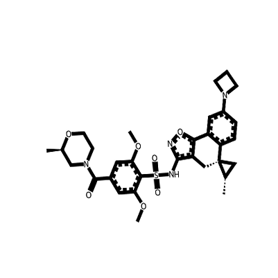 COc1cc(C(=O)N2CCO[C@H](C)C2)cc(OC)c1S(=O)(=O)Nc1noc2c1C[C@@]1(C[C@@H]1C)c1ccc(N3CCC3)cc1-2